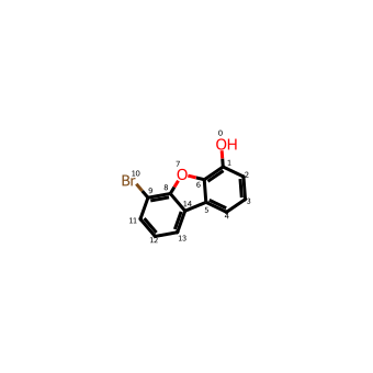 Oc1cccc2c1oc1c(Br)cccc12